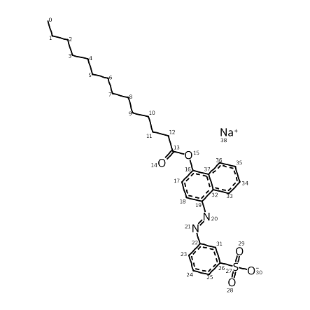 CCCCCCCCCCCCCC(=O)Oc1ccc(N=Nc2cccc(S(=O)(=O)[O-])c2)c2ccccc12.[Na+]